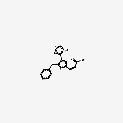 O=C(O)/C=C\c1cc(-c2nnn[nH]2)c(Cc2ccccc2)s1